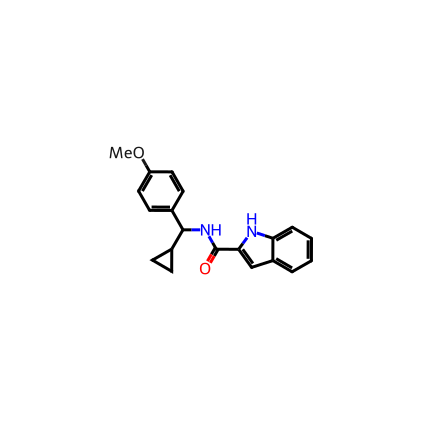 COc1ccc(C(NC(=O)c2cc3ccccc3[nH]2)C2CC2)cc1